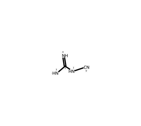 N#CNC([NH])=N